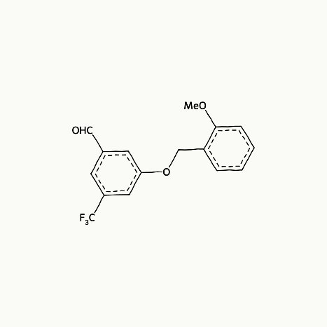 COc1ccccc1COc1cc(C=O)cc(C(F)(F)F)c1